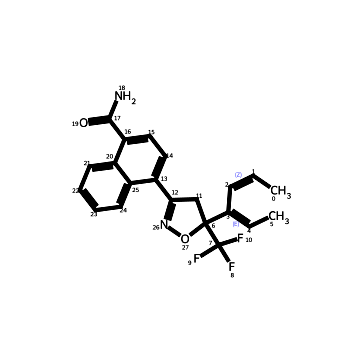 C/C=C\C(=C/C)C1(C(F)(F)F)CC(c2ccc(C(N)=O)c3ccccc23)=NO1